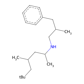 CC(CNC(C)CC(C)CC(C)(C)C)Cc1ccccc1